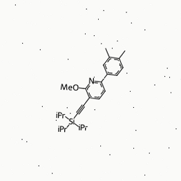 COc1nc(-c2ccc(C)c(C)c2)ccc1C#C[Si](C(C)C)(C(C)C)C(C)C